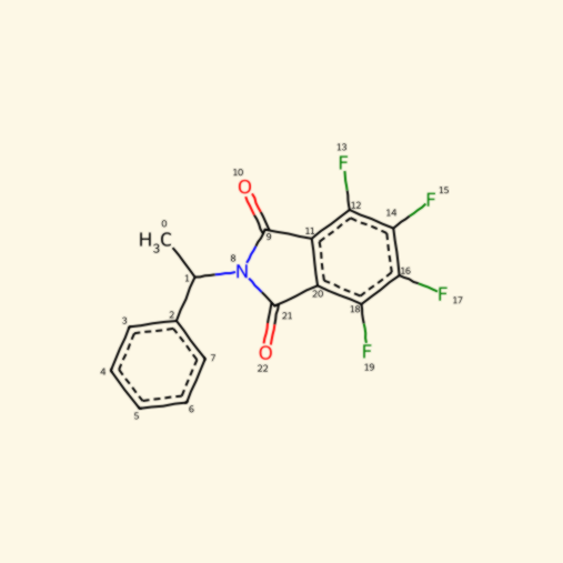 CC(c1ccccc1)N1C(=O)c2c(F)c(F)c(F)c(F)c2C1=O